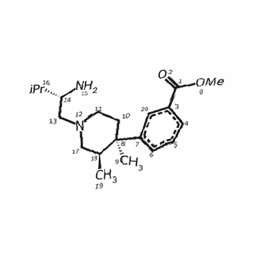 COC(=O)c1cccc([C@]2(C)CCN(C[C@@H](N)C(C)C)C[C@@H]2C)c1